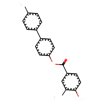 Cc1cc(C(=O)Oc2ccc(-c3ccc(C#N)cc3)cc2)ccc1O